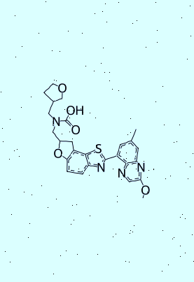 COc1cnc2c(-c3nc4ccc5c(c4s3)CC(CN(CC3CCOC3)C(=O)O)O5)cc(C)cc2n1